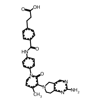 Cc1ccn(-c2ccc(NC(=O)c3ccc(CCC(=O)O)cc3)cc2)c(=O)c1N1CCc2nc(N)ncc2C1